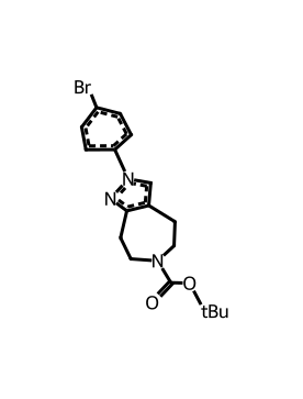 CC(C)(C)OC(=O)N1CCc2cn(-c3ccc(Br)cc3)nc2CC1